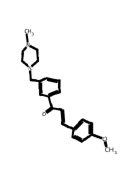 COc1ccc(C=CC(=O)c2cccc(CN3CCN(C)CC3)c2)cc1